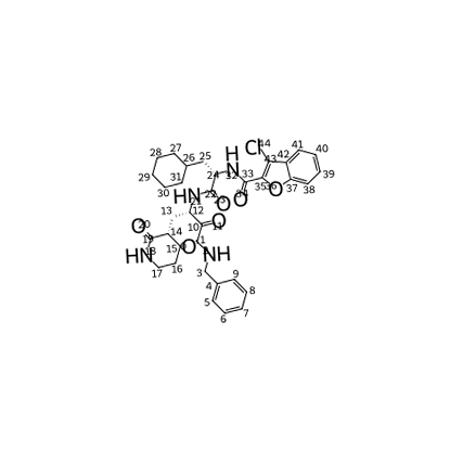 O=C(NCc1ccccc1)C(=O)[C@H](C[C@@H]1CCCNC1=O)NC(=O)[C@H](CC1CCCCC1)NC(=O)c1oc2ccccc2c1Cl